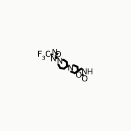 O=C1NCC2(CCN(C3CCCN(c4nc(C(F)(F)F)no4)CC3)CC2)O1